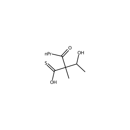 CCCC(=O)C(C)(C(O)=S)C(C)O